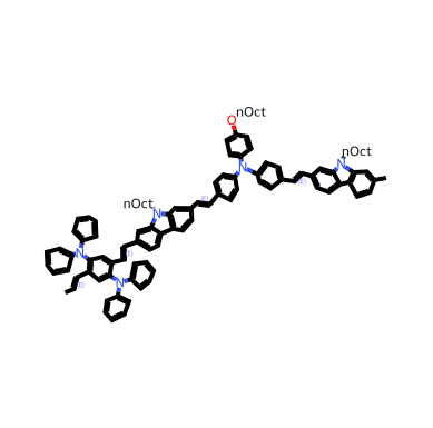 C/C=C/c1cc(N(c2ccccc2)c2ccccc2)c(/C=C/c2ccc3c4ccc(/C=C/c5ccc(N(c6ccc(/C=C/c7ccc8c9ccc(C)cc9n(CCCCCCCC)c8c7)cc6)c6ccc(OCCCCCCCC)cc6)cc5)cc4n(CCCCCCCC)c3c2)cc1N(c1ccccc1)c1ccccc1